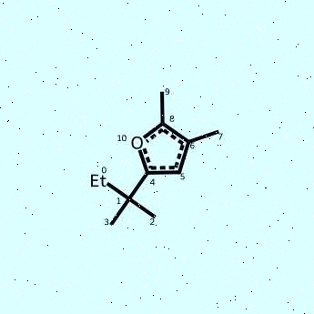 CCC(C)(C)c1cc(C)c(C)o1